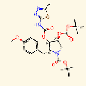 COc1ccc(C[C@@H]2[C@H](OC(=O)Nc3nnc(C)s3)[C@@H](OC(=O)OC(C)(C)C)CN2C(=O)OC(C)(C)C)cc1